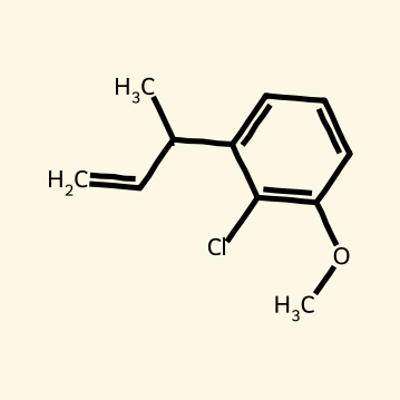 C=C[C](C)c1cccc(OC)c1Cl